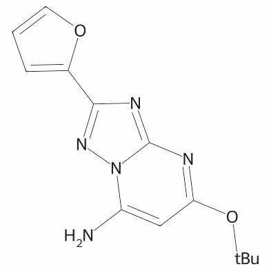 CC(C)(C)Oc1cc(N)n2nc(-c3ccco3)nc2n1